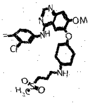 COc1cc2ncnc(Nc3ccc(F)c(Cl)c3)c2cc1OC1CCC(NCCCS(C)(=O)=O)CC1